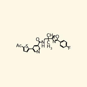 CC(=O)c1ccc(-c2cncc(C(=O)NCC(C)(C)c3coc(-c4ccc(F)cc4)n3)c2)s1